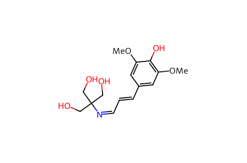 COc1cc(/C=C/C=N\C(CO)(CO)CO)cc(OC)c1O